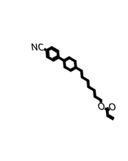 C=CC(=O)OCCCCCCCC1CCC(c2ccc(C#N)cc2)CC1